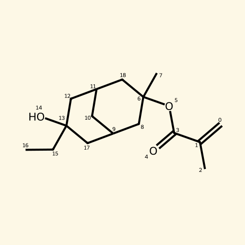 C=C(C)C(=O)OC1(C)CC2CC(CC(O)(CC)C2)C1